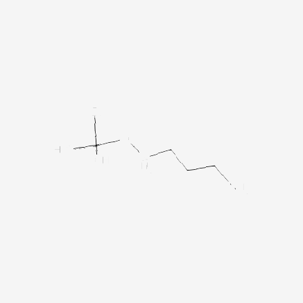 CCC(C)(C)O[SiH2]CCCN